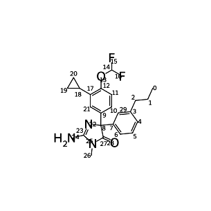 CCCc1cccc(C2(c3ccc(OC(F)F)c(C4CC4)c3)N=C(N)N(C)C2=O)c1